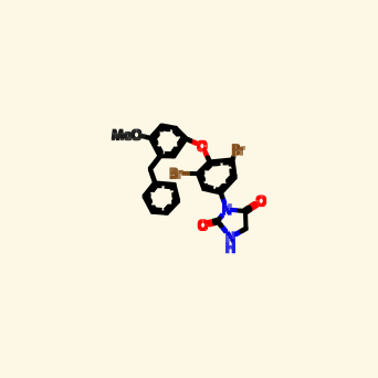 COc1ccc(Oc2c(Br)cc(N3C(=O)CNC3=O)cc2Br)cc1Cc1ccccc1